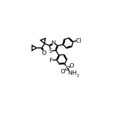 NS(=O)(=O)c1ccc(-c2sc(C3(C(=O)C4CC4)CC3)nc2-c2ccc(Cl)cc2)c(F)c1